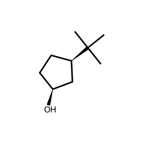 CC(C)(C)[C@@H]1CC[C@H](O)C1